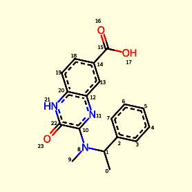 CC(c1ccccc1)N(C)c1nc2cc(C(=O)O)ccc2[nH]c1=O